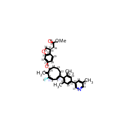 C=C1/C(F)=C\C=C(\c2c(C)cc(-c3cncc(C)c3)cc2C)CCC[C@H]1Oc1ccc2c(c1)OC[C@H]2CC(=O)OC